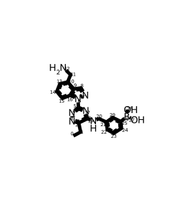 CCc1nnc(-n2ncc3c(CN)cccc32)nc1NCc1cccc(B(O)O)c1